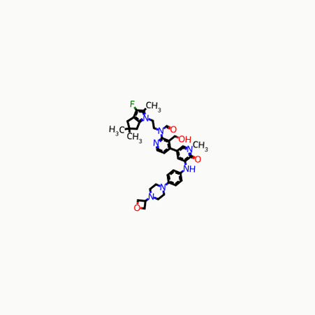 Cc1c(F)c2c(n1CCN(C=O)c1nccc(-c3cc(Nc4ccc(N5CCN(C6COC6)CC5)cc4)c(=O)n(C)c3)c1CO)CC(C)(C)C2